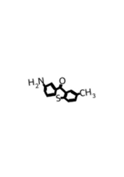 Cc1ccc2sc3ccc(N)cc3c(=O)c2c1